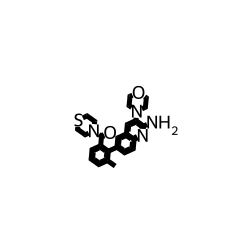 Cc1cccc(C(=O)N2CCSCC2)c1-c1ccc2nc(N)c(N3CCOCC3)cc2c1